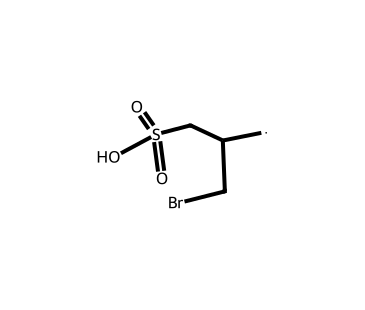 [CH2]C(CBr)CS(=O)(=O)O